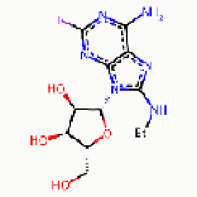 CCNc1nc2c(N)nc(I)nc2n1[C@@H]1O[C@H](CO)[C@@H](O)[C@H]1O